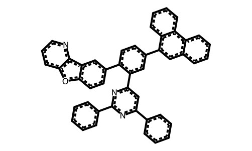 c1ccc(-c2cc(-c3cc(-c4cc5ccccc5c5ccccc45)ccc3-c3ccc4oc5cccnc5c4c3)nc(-c3ccccc3)n2)cc1